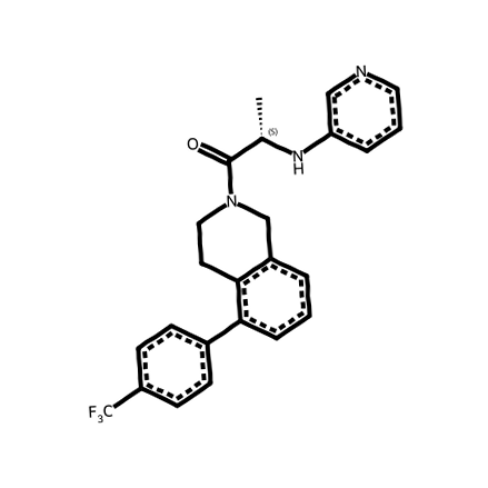 C[C@H](Nc1cccnc1)C(=O)N1CCc2c(cccc2-c2ccc(C(F)(F)F)cc2)C1